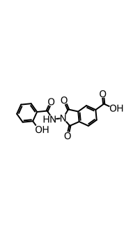 O=C(O)c1ccc2c(c1)C(=O)N(NC(=O)c1ccccc1O)C2=O